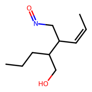 C/C=C\C(CN=O)C(CO)CCC